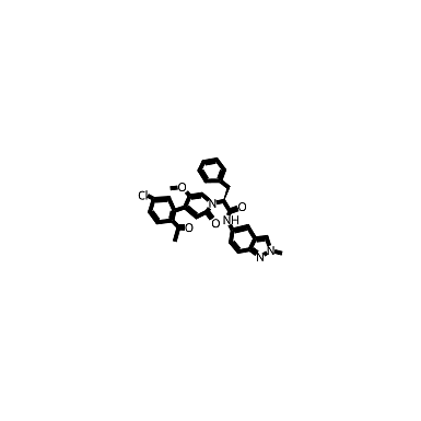 COc1cn([C@@H](Cc2ccccc2)C(=O)Nc2ccc3nn(C)cc3c2)c(=O)cc1-c1cc(Cl)ccc1C(C)=O